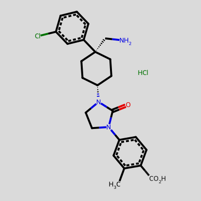 Cc1cc(N2CCN([C@H]3CC[C@](CN)(c4cccc(Cl)c4)CC3)C2=O)ccc1C(=O)O.Cl